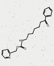 O=C(NCCCCCCC(=O)c1ccccc1)OCc1ccccn1